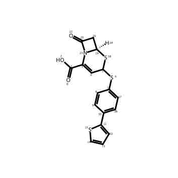 O=C(O)C1=CC(Sc2ccc(-c3cccs3)cc2)S[C@@H]2CC(=O)N12